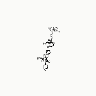 C[Si](C)(C)CCOCn1cc(Br)c2c(Oc3ccc(CC(NC(=O)O)C(=O)NC4CCOCC4)cc3)ccnc21